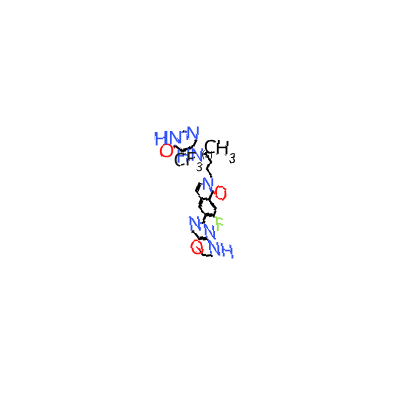 C[C@@H](CCCn1ccc2cc(-c3ncc4c(n3)NCCO4)c(F)cc2c1=O)NC1=C(C(F)(F)F)C(=O)NCN=C1